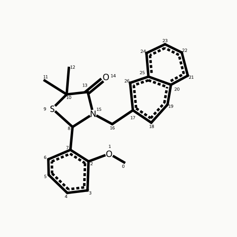 COc1ccccc1C1SC(C)(C)C(=O)N1Cc1ccc2ccccc2c1